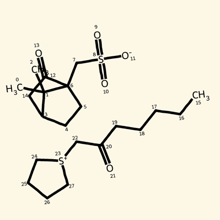 CC1(C)C2CCC1(CS(=O)(=O)[O-])C(=O)C2.CCCCCC(=O)C[S+]1CCCC1